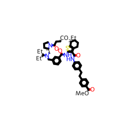 CCOC(=O)CCC(=O)N1CCC[C@H]1CN(Cc1cccc(C(=O)Nc2sc3c(c2C(=O)Nc2ccc(CCc4ccc(C(=O)OC)cc4)cc2)CCCC3)c1)C(CC)CC